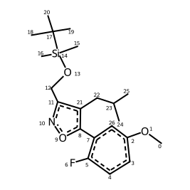 COc1ccc(F)c(-c2onc(CO[Si](C)(C)C(C)(C)C)c2CC(C)C)c1